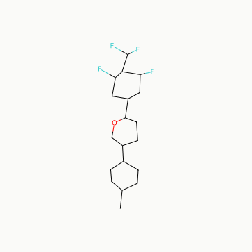 CC1CCC(C2CCC(C3CC(F)C(C(F)F)C(F)C3)OC2)CC1